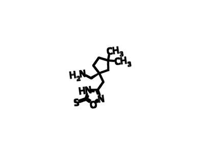 CC1(C)CC[C@@](CN)(Cc2noc(=S)[nH]2)C1